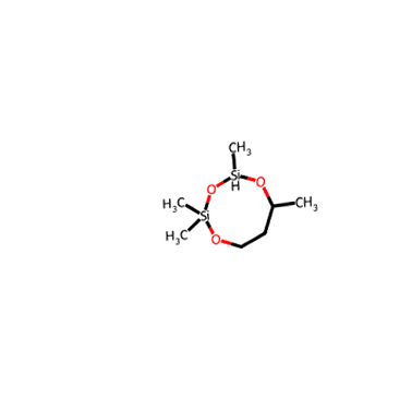 CC1CCO[Si](C)(C)O[SiH](C)O1